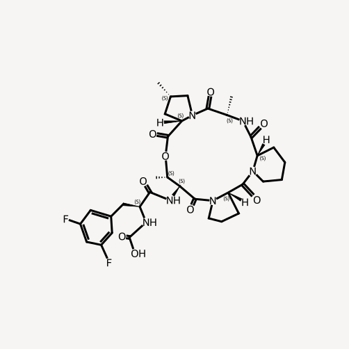 C[C@H]1C[C@H]2C(=O)O[C@@H](C)[C@H](NC(=O)[C@H](Cc3cc(F)cc(F)c3)NC(=O)O)C(=O)N3CCC[C@H]3C(=O)N3CCCC[C@H]3C(=O)N[C@@H](C)C(=O)N2C1